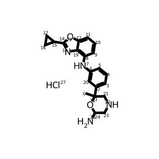 CC1(c2cccc(Nc3cccc4oc(C5CC5)nc34)c2)CNCC(N)O1.Cl